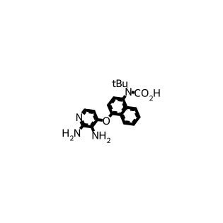 CC(C)(C)N(C(=O)O)c1ccc(Oc2ccnc(N)c2N)c2ccccc12